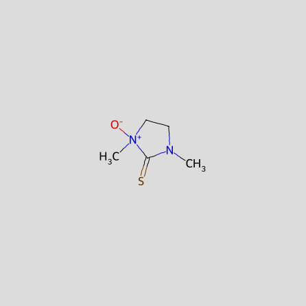 CN1CC[N+](C)([O-])C1=S